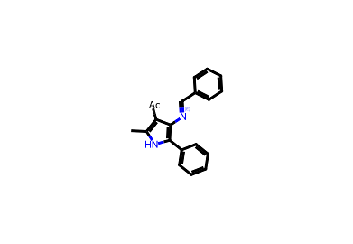 CC(=O)c1c(C)[nH]c(-c2ccccc2)c1/N=C/c1ccccc1